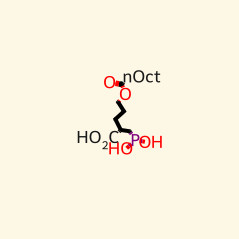 CCCCCCCCC(=O)OCCCC(CP(O)O)C(=O)O